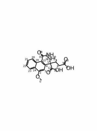 COc1cc([C@](N)(CCC(=O)O)C(=O)O)c(C(N)=O)c2ccccc12